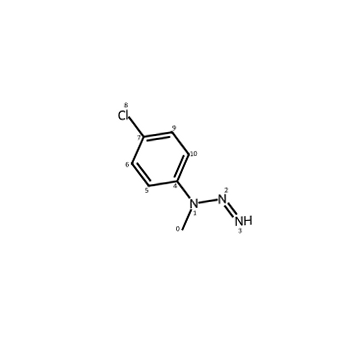 CN(N=N)c1ccc(Cl)cc1